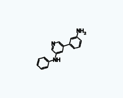 Nc1cccc(-c2cncc(Nc3ccccc3)c2)c1